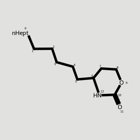 CCCCCCCCCCCCC1CCOC(=O)N1